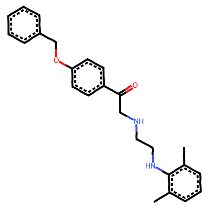 Cc1cccc(C)c1NCCNCC(=O)c1ccc(OCc2ccccc2)cc1